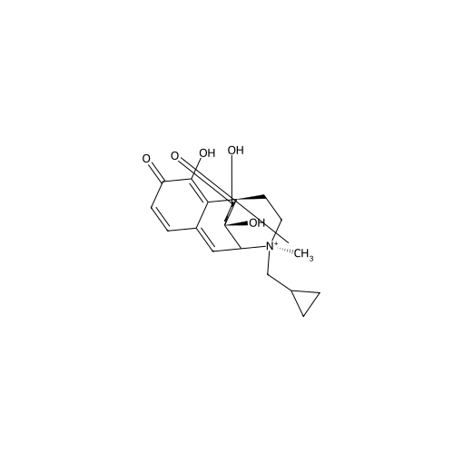 C[N@@+]1(CC2CC2)CC[C@@]23C4=C(O)C(=O)C=CC4=CC1[C@]2(O)CCC(=O)C3O